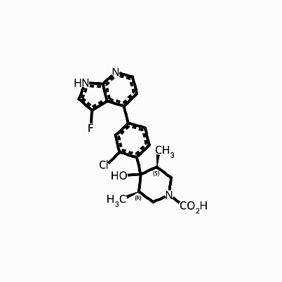 C[C@@H]1CN(C(=O)O)C[C@H](C)C1(O)c1ccc(-c2ccnc3[nH]cc(F)c23)cc1Cl